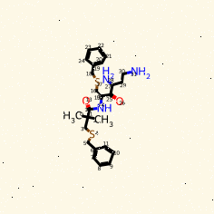 CC(C)(CSCc1ccccc1)C(=O)N[C@@H](CSCc1ccccc1)C(=O)C(N)CCN